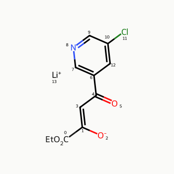 CCOC(=O)/C([O-])=C/C(=O)c1cncc(Cl)c1.[Li+]